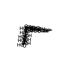 O=P([O-])(O)O.O=P([O-])(O)O.O=P([O-])(O)O.O=P([O-])(O)O.O=P([O-])(O)O.O=P([O-])(O)O.O=P([O-])(O)O.O=P([O-])(O)O.[Ca+2].[Ca+2].[Ca+2].[Ca+2]